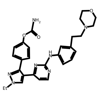 CCn1cc(-c2ccnc(Nc3cccc(CCN4CCOCC4)c3)n2)c(-c2ccc(OC(N)=O)cc2)n1